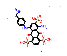 CNCc1ccc(Nc2cc(S(=O)(=O)O)c(N)c3c2C(=O)c2c(S(=O)(=O)O)ccc(S(=O)(=O)O)c2C3=O)cc1